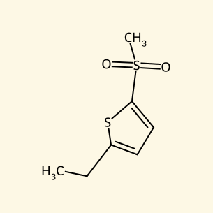 CCc1ccc(S(C)(=O)=O)s1